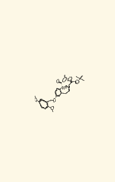 COC(=O)[C@H]1c2ccc(OCc3cc(OC)ccc3OC)cc2CCN1C(=O)OC(C)(C)C